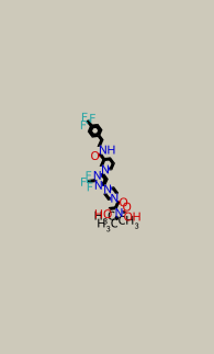 CC(C)(C)N(C(=O)O)C(CO)C(=O)N1CCN(c2cc(N3CCCC(C(=O)NCCc4ccc(C(F)(F)F)cc4)C3)nc(C(F)(F)F)n2)CC1